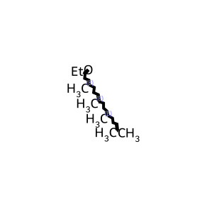 CCC(=O)C/C=C(\C)CC/C=C(\C)CC/C=C(\C)CCC=C(C)C